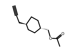 C#CC[C@H]1CC[C@H](COC(C)=O)CC1